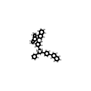 c1ccc(-c2cc(-c3ccc(-c4ccc5ccccc5c4)cc3)nc(-c3ccc4c(c3)Sc3cc5ccccc5cc3C43c4ccccc4-c4ccccc43)n2)cc1